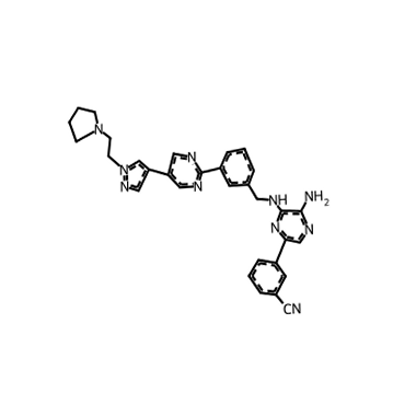 N#Cc1cccc(-c2cnc(N)c(NCc3cccc(-c4ncc(-c5cnn(CCN6CCCC6)c5)cn4)c3)n2)c1